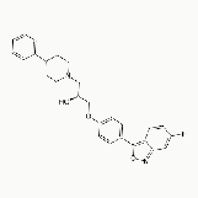 O[C@H](COc1ccc(-c2onc3cc(F)ccc23)cc1)CN1CCC(c2ccccc2)CC1